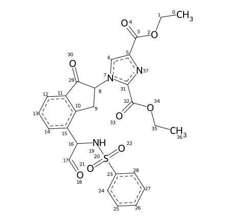 CCOC(=O)c1cn(C2Cc3c(cccc3C(C=O)NS(=O)(=O)c3ccccc3)C2=O)c(C(=O)OCC)n1